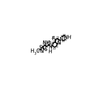 Cc1nc2sc(C(=O)NC3CCc4nc(N5CCNCC5)cc(F)c4C3)c(N)c2s1